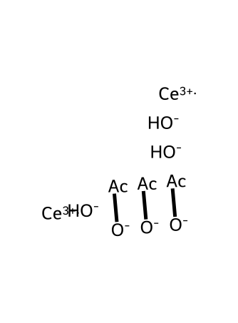 CC(=O)[O-].CC(=O)[O-].CC(=O)[O-].[Ce+3].[Ce+3].[OH-].[OH-].[OH-]